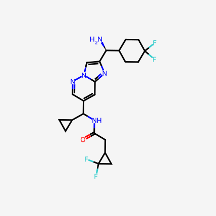 N[C@H](c1cn2ncc(C(NC(=O)CC3CC3(F)F)C3CC3)cc2n1)C1CCC(F)(F)CC1